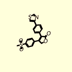 CS(=O)(=O)c1ccc(C2=C(c3ccc(-c4cscn4)cc3)C(=O)OC2)cc1